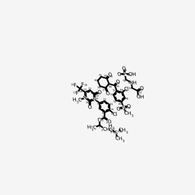 CC(C)OC(=O)c1cc(-n2c(=O)cc(C(F)(F)F)n(C)c2=O)ccc1Cl.CS(=O)(=O)c1ccc(C(=O)C2C(=O)CCCC2=O)c(Cl)c1.C[S+](C)C.O=C(O)CNCP(=O)([O-])O